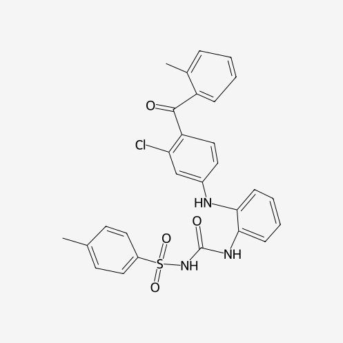 Cc1ccc(S(=O)(=O)NC(=O)Nc2ccccc2Nc2ccc(C(=O)c3ccccc3C)c(Cl)c2)cc1